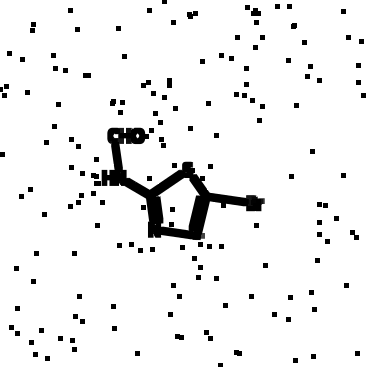 O=CNc1n[c]c(Br)s1